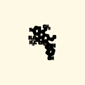 CCN(c1ncc(F)cc1NC(C)(C)C)C1CCN(c2cc3cc(O)ccc3[nH]2)C(C=O)C1